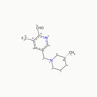 C[C@@H]1CCCN(Cc2cnc(C=O)c(C(F)(F)F)c2)C1